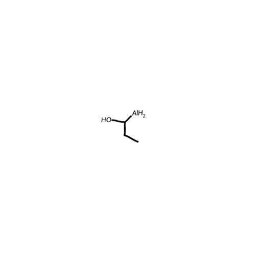 CC[CH](O)[AlH2]